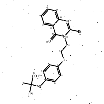 CCCC(C)(Sc1ccc(OCCn2c(CC)nc3ccccc3c2=O)cc1)C(=O)OCC